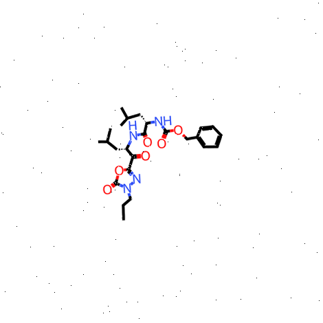 CCCn1nc(C(=O)[C@H](CC(C)C)NC(=O)[C@H](CC(C)C)NC(=O)OCc2ccccc2)oc1=O